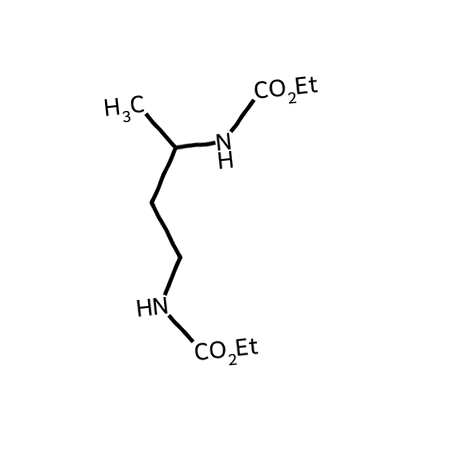 CCOC(=O)NCCC(C)NC(=O)OCC